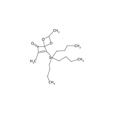 CCC[CH2][Sn]([CH2]CCC)([CH2]CCC)[C]1=C(C)C(=O)C12OC(C)O2